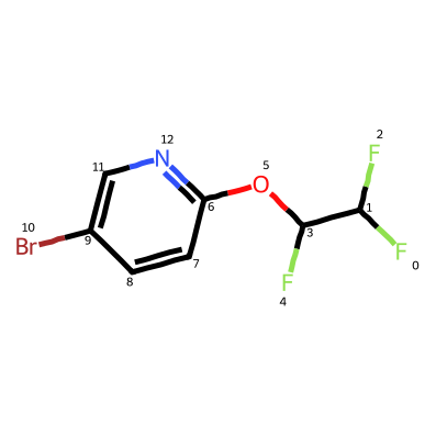 FC(F)C(F)Oc1ccc(Br)cn1